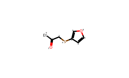 CCC(=O)CSc1ccoc1